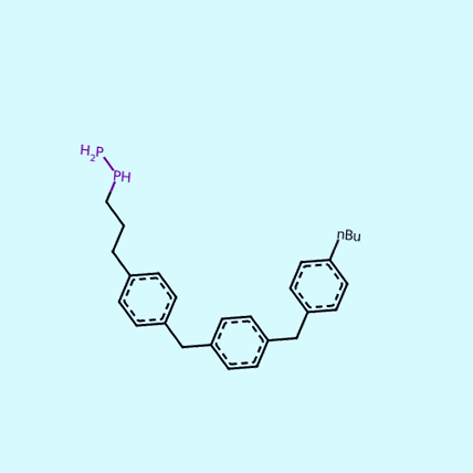 CCCCc1ccc(Cc2ccc(Cc3ccc(CCCPP)cc3)cc2)cc1